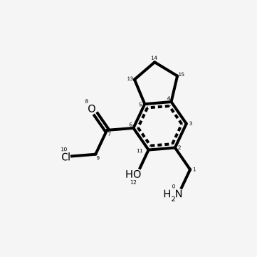 NCc1cc2c(c(C(=O)CCl)c1O)CCC2